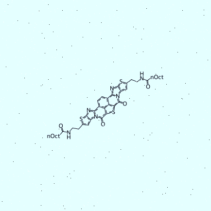 CCCCCCCCC(=O)NCCc1cc2c(nc3c4ccc5c6c(sc(c(=O)n23)c46)c(=O)n2c3cc(CCNC(=O)CCCCCCCC)sc3nc52)s1